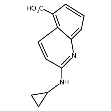 O=C(O)c1cccc2nc(NC3CC3)ccc12